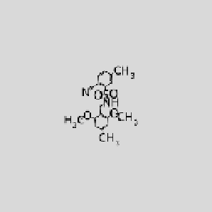 COc1cc(C)cc(OC)c1CNS(=O)(=O)c1cc(C)ccc1C#N